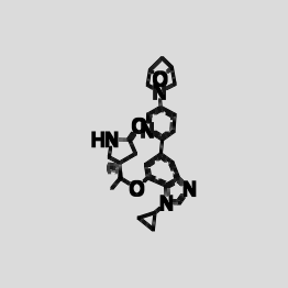 CC(Oc1cc(-c2ccc(N3CC4CC(C3)O4)cn2)cc2ncn(C3CC3)c12)[C@H]1CNC(=O)C1